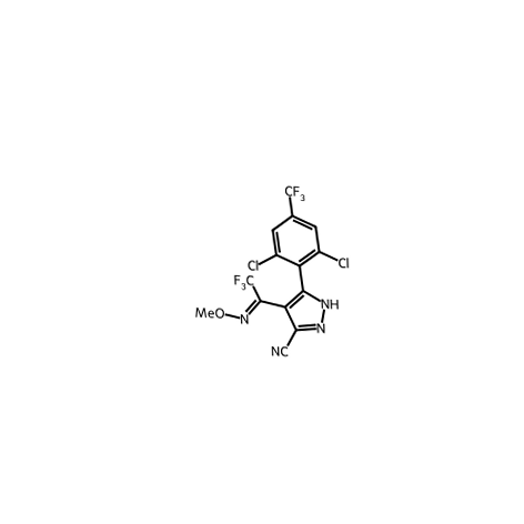 CON=C(c1c(C#N)n[nH]c1-c1c(Cl)cc(C(F)(F)F)cc1Cl)C(F)(F)F